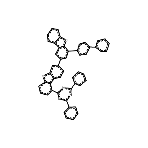 c1ccc(-c2ccc(-c3cc(-c4ccc5c(c4)oc4cccc(-c6nc(-c7ccccc7)nc(-c7ccccc7)n6)c45)cc4c3oc3ccccc34)cc2)cc1